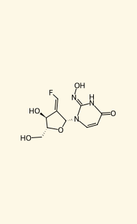 O=c1ccn([C@@H]2O[C@H](CO)[C@@H](O)/C2=C\F)/c(=N/O)[nH]1